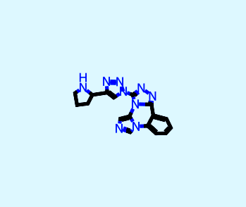 c1ccc2c(c1)c1nnc(-n3cc(C4CCCN4)nn3)n1c1cncn21